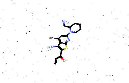 C=CC(=O)c1sc2nc(N3CCCCC3CN)cc(CCC)c2c1N